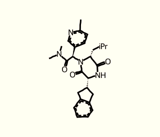 Cc1ccc([C@H](C(=O)N(C)C)N2C(=O)[C@@H](C3Cc4ccccc4C3)NC(=O)[C@H]2CC(C)C)cn1